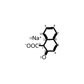 O=C([O-])C1C(=O)C=Cc2ccccc21.[Na+]